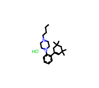 CCCCN1CCN(c2ccccc2C2=CC(C)(C)CC(C)(C)C2)CC1.Cl